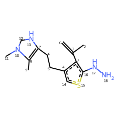 C=C(C)c1c(CCC2=C(C)N(C)CN2)csc1NN